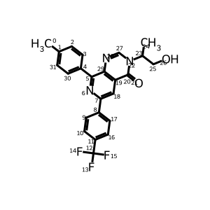 Cc1ccc(-c2nc(-c3ccc(C(F)(F)F)cc3)cc3c(=O)n(C(C)CO)cnc23)cc1